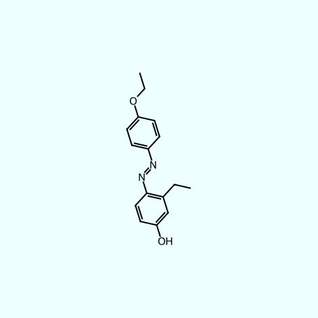 CCOc1ccc(/N=N/c2ccc(O)cc2CC)cc1